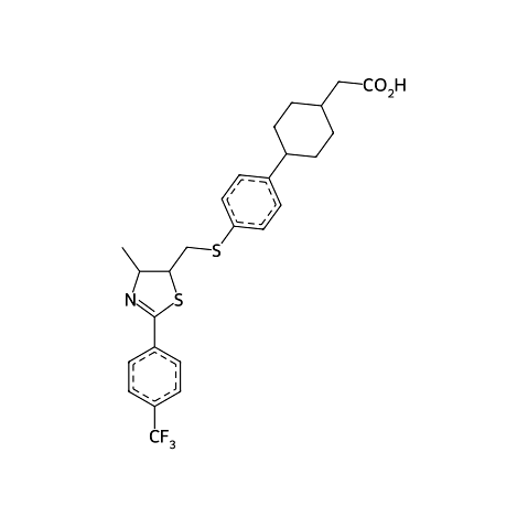 CC1N=C(c2ccc(C(F)(F)F)cc2)SC1CSc1ccc(C2CCC(CC(=O)O)CC2)cc1